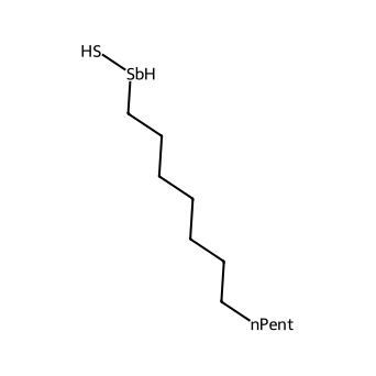 CCCCCCCCCCC[CH2][SbH][SH]